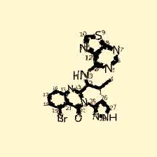 CCC(Nc1ncnc2scnc12)c1nc2cccc(Br)c2c(=O)n1-c1cc[nH]n1